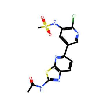 CC(=O)Nc1nc2ccc(-c3cnc(Cl)c(NS(C)(=O)=O)c3)nc2s1